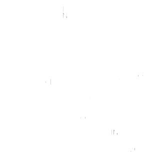 CC(C)(C)NC=C1C(=O)CC(c2c[nH]c3cccc(Cl)c23)CC1=O